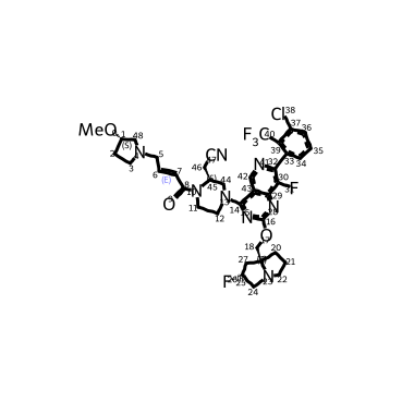 CO[C@H]1CCN(C/C=C/C(=O)N2CCN(c3nc(OC[C@@]45CCCN4C[C@H](F)C5)nc4c(F)c(-c5cccc(Cl)c5C(F)(F)F)ncc34)C[C@@H]2CC#N)C1